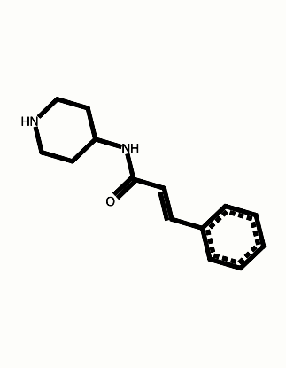 O=C(C=Cc1ccccc1)NC1CCNCC1